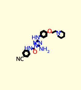 N#Cc1ccc(NC(=O)n2nc(Nc3ccc(OCCN4CCCCC4)cc3)nc2N)cc1